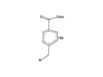 Br.COC(=O)c1ccc(CBr)cc1